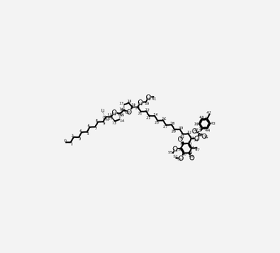 CCCCCCCCCC[C@H](C)[C@@H]1CC[C@@H]([C@@H]2CC[C@@H](C(CCCCCCCCCCCCC(OS(=O)(=O)c3ccc(C)cc3)C3=C(C)C(=O)C(OC)=C(OC)C3=O)OCOC)O2)O1